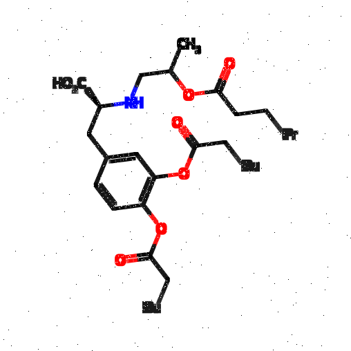 CCC(C)CC(=O)Oc1ccc(C[C@H](NCC(C)OC(=O)CCC(C)C)C(=O)O)cc1OC(=O)CC(C)CC